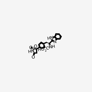 O=C(O)N[C@@H](Cc1ccc(C2CC(=O)NS2(=O)=O)cc1)c1nc2ccccc2[nH]1